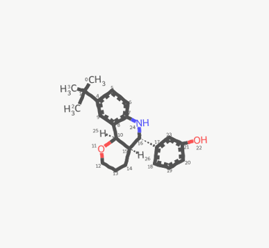 CC(C)(C)c1ccc2c(c1)[C@@H]1OCCC[C@@H]1[C@@H](c1cccc(O)c1)N2